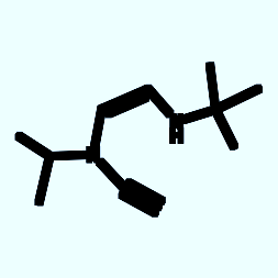 C#CN(/C=C\NC(C)(C)C)C(C)C